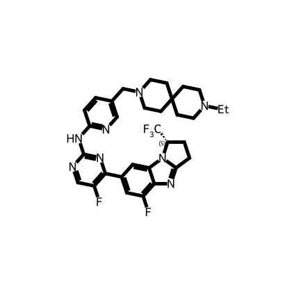 CCN1CCC2(CC1)CCN(Cc1ccc(Nc3ncc(F)c(-c4cc(F)c5nc6n(c5c4)[C@H](C(F)(F)F)CC6)n3)nc1)CC2